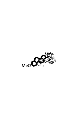 CCOC(C)O[C@]1(C(C)=NC(C)=O)[C@@H](C)CC2C3CC=C4C=C(OC)CC[C@]4(C)[C@@]3(O)CC[C@@]21C